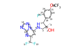 C[C@](O)(CNc1cc(C(F)F)nc2ncnn12)Cc1ccc(OC(F)(F)F)cc1F